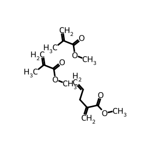 C=C(C)C(=O)OC.C=C(C)C(=O)OC.C=CCC(=C)C(=O)OC